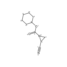 N#CC1CN1C(=O)OC1CCCCC1